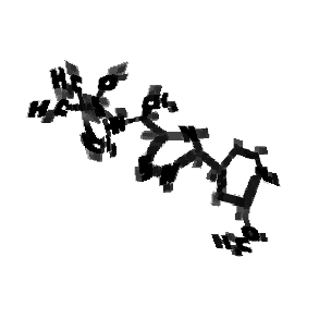 COc1cc(-c2nsc([C@H](C)N[S+]([O-])C(C)(C)C)n2)ccn1